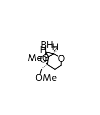 B[C@H]1O[C@]2(COC)CCO[C@H]1[C@H]2OC